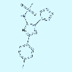 CS(=O)(=O)Nc1nc(-c2ccc(F)cc2)oc1-c1ccsc1